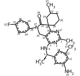 Cc1nc(N[C@H](C)c2cc(N)cc(C(F)(F)F)c2)c2c(n1)C1(CCCC(C)C1)C(=O)N(c1ccc(F)cc1)C2